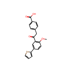 COc1ccc(-c2cccs2)cc1C(=O)Cc1ccc(C(=O)O)cc1